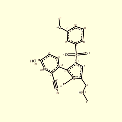 CNCc1cn(S(=O)(=O)c2cccc(OC)c2)c(-c2cccnc2C#N)c1F.Cl